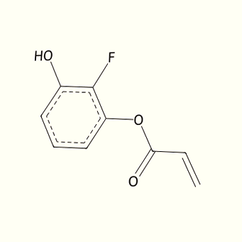 C=CC(=O)Oc1cccc(O)c1F